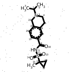 CC(C)N1CCc2cc(C(=O)NS(=O)(=O)C3(C)CC3)ccc2C1